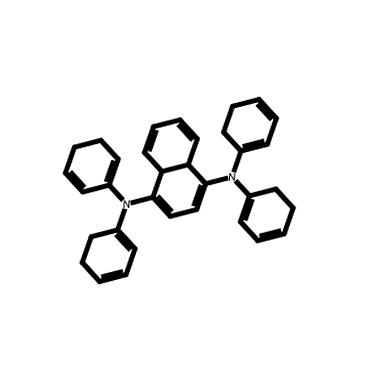 C1=CCCC(N(C2=CCCC=C2)C2=CC=C(N(C3=CC=CCC3)C3=CC=CCC3)C3C=CC=CC23)=C1